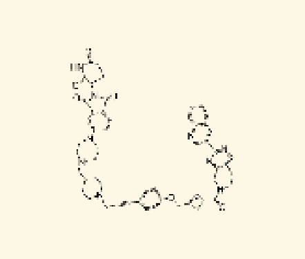 O=C1CCC(N2C(=O)c3ccc(N4CCN(CC5CCN(CC#Cc6ccc(OCC78CC(C(=O)N9CCc%10cnc(-c%11cnc%12ccccc%12c%11)nc%10C9)(C7)C8)cc6)CC5)CC4)cc3C2=O)C(=O)N1